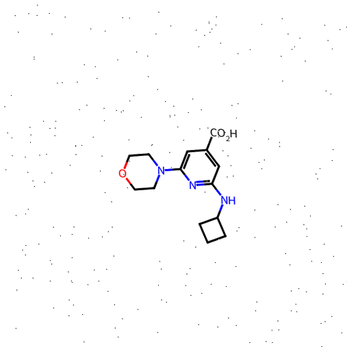 O=C(O)c1cc(NC2CCC2)nc(N2CCOCC2)c1